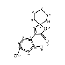 O=C1OC2(C=C1c1ccc(Cl)cc1Cl)CCCCC2